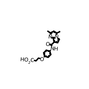 Cc1cc(C)n2ccc(C(=O)Nc3ccc(OCCC(=O)O)cc3)c2n1